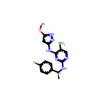 CC(C)Oc1cc(Nc2nc(N[C@@H](C)c3ccc(F)cc3)ncc2[N+](=O)[O-])n[nH]1